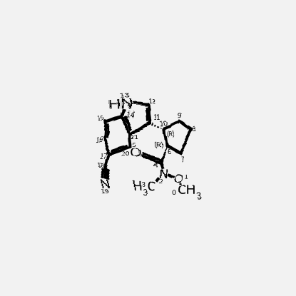 CON(C)C(=O)[C@@H]1CCC[C@H]1c1c[nH]c2ccc(C#N)cc12